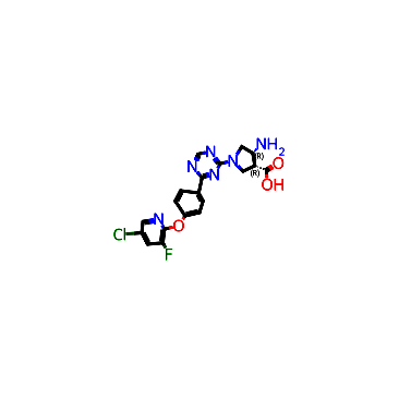 N[C@H]1CN(c2ncnc(-c3ccc(Oc4ncc(Cl)cc4F)cc3)n2)C[C@H]1C(=O)O